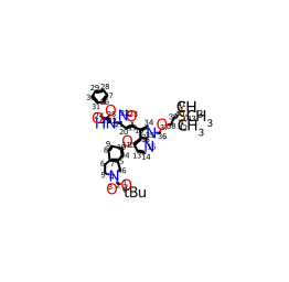 CC(C)(C)OC(=O)N1CCc2ccc(Oc3ccnc4c3c(-c3cc(NC(=O)Oc5ccccc5)no3)cn4COCCS(C)(C)C)cc2C1